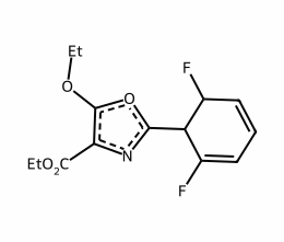 CCOC(=O)c1nc(C2C(F)=CC=CC2F)oc1OCC